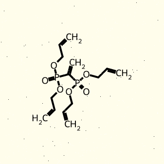 C=CCOP(=O)(OCC=C)C(=C)P(=O)(OCC=C)OCC=C